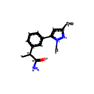 CCn1nc(C=O)cc1-c1cccc([C](C)C(N)=O)c1